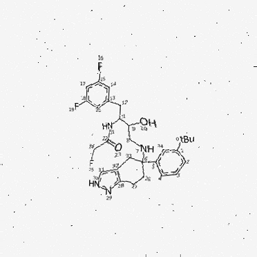 CC(C)(C)c1cccc(C2(NCC(O)C(Cc3cc(F)cc(F)c3)NC(=O)CF)CCc3n[nH]cc3C2)c1